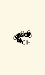 CC(=O)N1CCN(C(=O)Cc2ccc(S(C)(=O)=O)cc2)C[C@@H]1CN1CCCC1.Cl